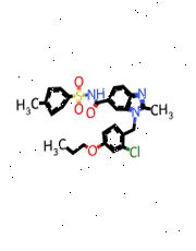 CCCOc1ccc(Cn2c(C)nc3ccc(C(=O)NS(=O)(=O)c4ccc(C)cc4)cc32)c(Cl)c1